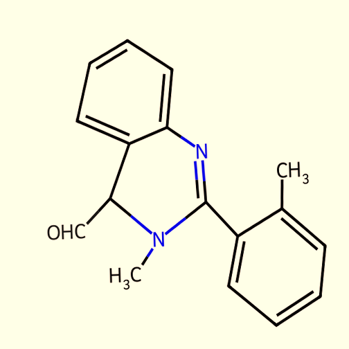 Cc1ccccc1C1=Nc2ccccc2C(C=O)N1C